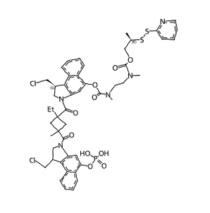 CCC1(C(=O)N2C[C@@H](CCl)c3c2cc(OC(=O)N(C)CCN(C)C(=O)OC[C@@H](C)SSc2ccccn2)c2ccccc32)CC(C)(C(=O)N2CC(CCl)c3c2cc(OP(=O)(O)O)c2ccccc32)C1